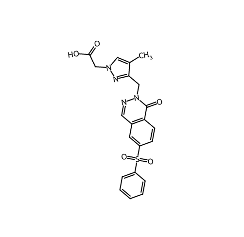 Cc1cn(CC(=O)O)nc1Cn1ncc2cc(S(=O)(=O)c3ccccc3)ccc2c1=O